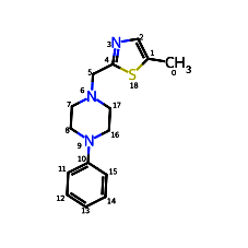 Cc1cnc(CN2CCN(c3ccccc3)CC2)s1